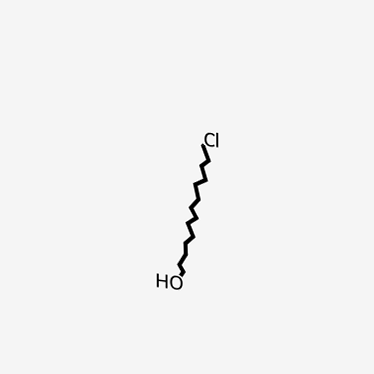 OCCCCCCCCCCCCCCCl